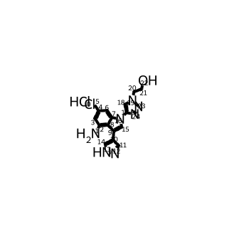 Cl.Nc1cc(Cl)cc2c1c(-c1cn[nH]c1)cn2-c1cn(CCO)nn1